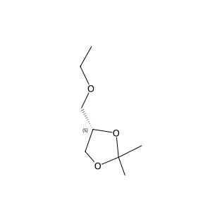 CCOC[C@H]1COC(C)(C)O1